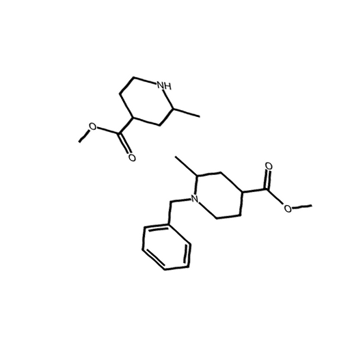 COC(=O)C1CCN(Cc2ccccc2)C(C)C1.COC(=O)C1CCNC(C)C1